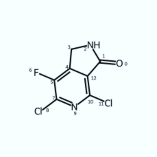 O=C1NCc2c(F)c(Cl)nc(Cl)c21